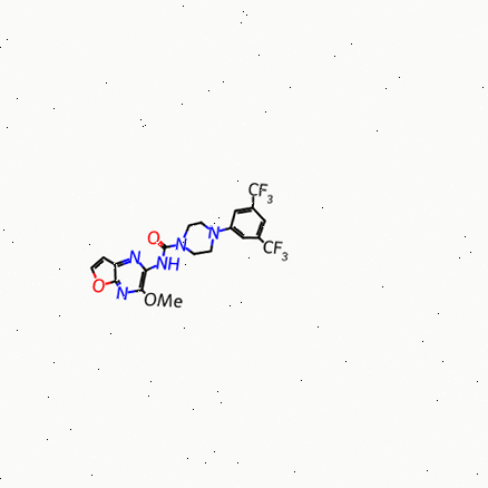 COc1nc2occc2nc1NC(=O)N1CCN(c2cc(C(F)(F)F)cc(C(F)(F)F)c2)CC1